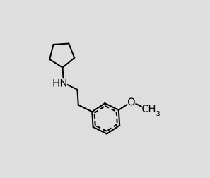 COc1cccc(CCNC2CCCC2)c1